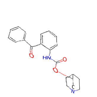 O=C(Nc1ccccc1C(=O)c1ccccc1)OC1CN2CCC1CC2